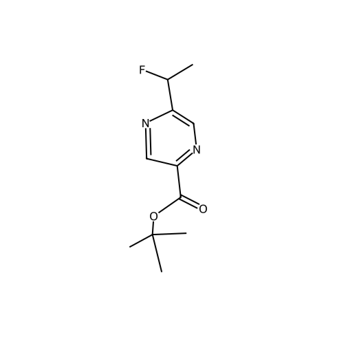 CC(F)c1cnc(C(=O)OC(C)(C)C)cn1